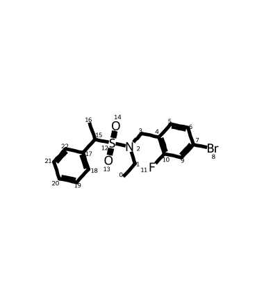 CCN(Cc1ccc(Br)cc1F)S(=O)(=O)C(C)c1ccccc1